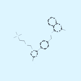 C[Si](C)(C)CCOCn1cc(C(F)(F)F)nc1-c1ccc(COc2nc(Cl)nc3ncccc23)cc1